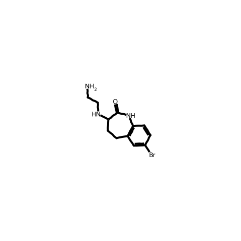 NCCNC1CCc2cc(Br)ccc2NC1=O